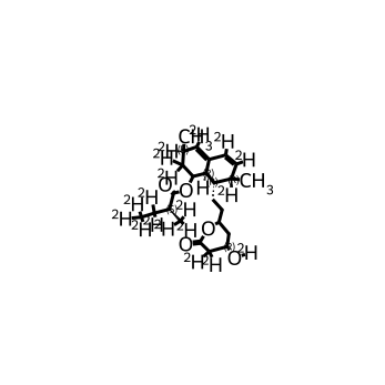 [2H]O[C@@H]1CC(CC[C@@H]2[C@@H]3C(=C([2H])[C@]([2H])(C)C([2H])([2H])C3OC(=O)[C@@H](C([2H])([2H])[2H])C([2H])([2H])C([2H])([2H])[2H])C([2H])=C([2H])[C@]2([2H])C)OC(=O)C1([2H])[2H]